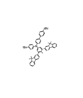 Cc1c(-c2ccc3c(c2)C(C)(C)c2ccccc2-3)cc(N(c2ccc(-c3ccc(C(C)(C)C)cc3)cc2)c2ccc(C(C)(C)C)cc2)cc1-c1ccc2c(c1)C(C)(C)c1ccccc1-2